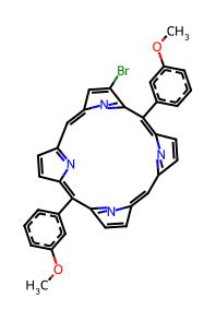 COc1cccc(C2=C3C=CC(=N3)C=C3C=C(Br)C(=N3)C(c3cccc(OC)c3)=C3C=CC(=N3)C=C3C=CC2=N3)c1